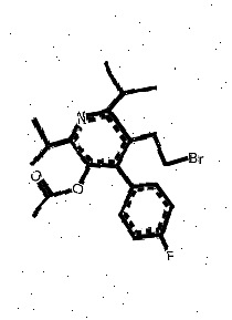 CC(=O)Oc1c(C(C)C)nc(C(C)C)c(CCBr)c1-c1ccc(F)cc1